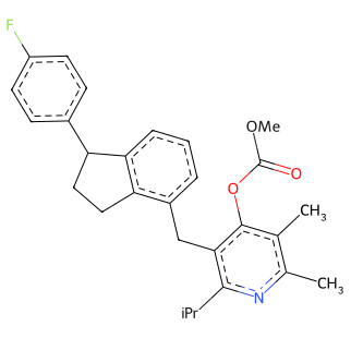 COC(=O)Oc1c(C)c(C)nc(C(C)C)c1Cc1cccc2c1CCC2c1ccc(F)cc1